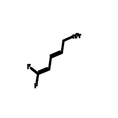 [CH2]CCC/C=C/C=C(F)F